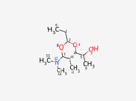 CCC(OCC(C)O)OC(CC)N(C)C